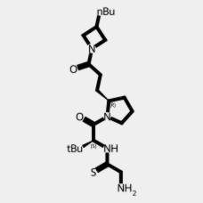 CCCCC1CN(C(=O)CC[C@H]2CCCN2C(=O)[C@@H](NC(=S)CN)C(C)(C)C)C1